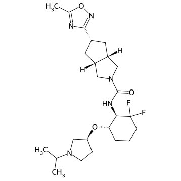 Cc1nc([C@@H]2C[C@@H]3CN(C(=O)N[C@@H]4[C@@H](O[C@H]5CCN(C(C)C)C5)CCCC4(F)F)C[C@@H]3C2)no1